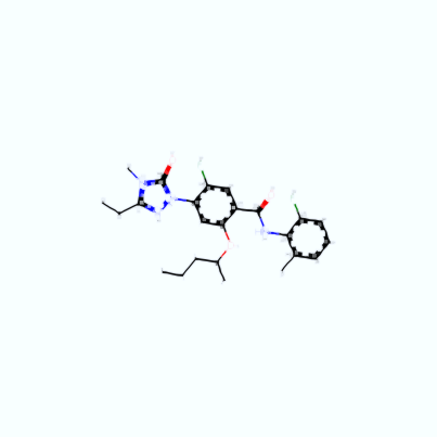 CCCC(C)Oc1cc(-n2nc(CC)n(C)c2=O)c(F)cc1C(=O)Nc1c(C)cccc1F